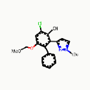 COCOc1cc(Cl)c(C#N)c(-c2ccn(C(C)(C)C)n2)c1-c1ccccc1